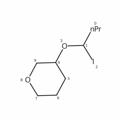 CCCC(I)OC1CCCOC1